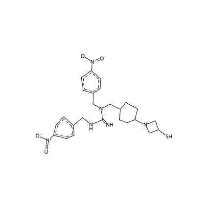 N=C(NCc1ccc([N+](=O)[O-])cc1)N(Cc1ccc([N+](=O)[O-])cc1)CC1CCC(N2CC(S)C2)CC1